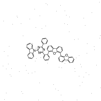 c1ccc(-c2nc(-c3ccccc3-c3cccc4c3oc3c(-c5cccc6c5oc5ccccc56)cccc34)nc(-n3c4ccccc4c4ccccc43)n2)cc1